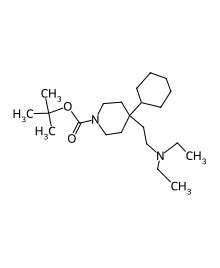 CCN(CC)CCC1(C2CCCCC2)CCN(C(=O)OC(C)(C)C)CC1